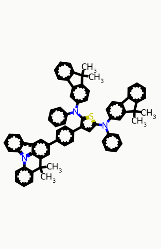 CC1(C)c2ccccc2-c2cc(N(c3ccccc3)c3sc(N(c4ccccc4)c4ccc5c(c4)C(C)(C)c4ccccc4-5)cc3-c3ccc(-c4cc5c6c(c4)c4ccccc4n6-c4ccccc4C5(C)C)cc3)ccc21